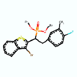 CC(C)OP(=O)(OC(C)C)C(Cc1ccc(F)c(C(F)(F)F)c1)c1sc2ccccc2c1Br